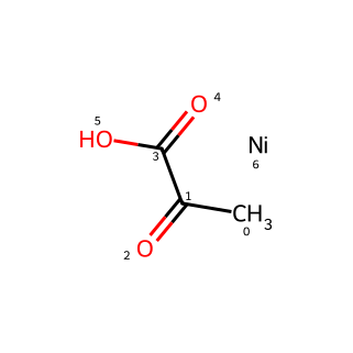 CC(=O)C(=O)O.[Ni]